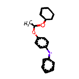 CC(Oc1ccc([I+]c2ccccc2)cc1)OC1CCCCC1